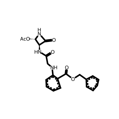 CC(=O)O[C@@H]1NC(=O)[C@H]1NC(=O)CNc1ccccc1C(=O)OCc1ccccc1